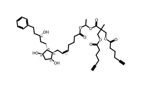 C#CCCCC(=O)OCC(C)(COC(=O)CCCC#C)C(=O)OC(C)OC(=O)CCC/C=C\C[C@@H]1[C@@H](CC[C@@H](O)CCc2ccccc2)[C@H](O)C[C@@H]1O